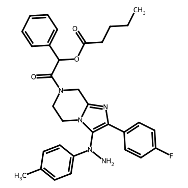 CCCCC(=O)OC(C(=O)N1CCn2c(nc(-c3ccc(F)cc3)c2N(N)c2ccc(C)cc2)C1)c1ccccc1